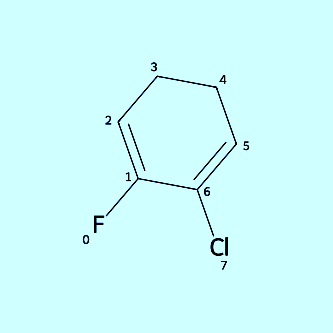 FC1=CCCC=C1Cl